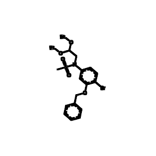 CCOC(CN(c1ccc(Br)c(OCc2ccccc2)c1)S(C)(=O)=O)OCC